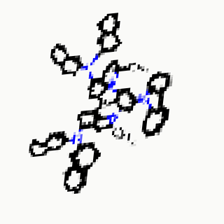 Cc1cc2c(N(c3ccc4ccccc4c3)c3ccc4ccccc4c3)ccc3c2n1-c1cc(-n2c4ccccc4c4ccccc42)cc2c1B3c1ccc(N(c3ccc4ccccc4c3)c3ccc4ccccc4c3)c3cc(C)n-2c13